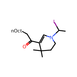 CCCCCCCCCC(=O)C1=CN(C(C)I)CCC1(C)C